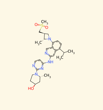 CC(C)c1ccc(N2C[C@H](CS(C)(=O)=O)[C@H]2C)c2cnc(Nc3ccnc(N4CC[C@H](O)C[C@H]4C)n3)cc12